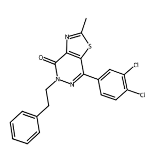 Cc1nc2c(=O)n(CCc3ccccc3)nc(-c3ccc(Cl)c(Cl)c3)c2s1